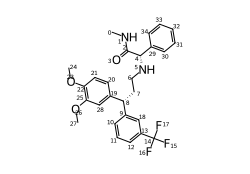 CNC(=O)[C@@H](NCC[C@H](c1cccc(C(F)(F)F)c1)c1ccc(OC)c(OC)c1)c1ccccc1